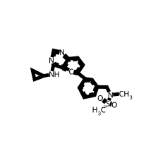 CN(Cc1cccc(-c2ccc3ncnc(NC4CC4)c3c2)c1)S(C)(=O)=O